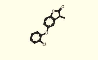 CC1C(=O)Oc2ccc(Oc3ccccc3Cl)cc21